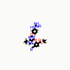 CC(C)(C)OC(=O)c1ccc(C#N)cc1Oc1nc(Oc2cccc(NC(=N)N)c2)nc2c1ncn2C(C)(C)C